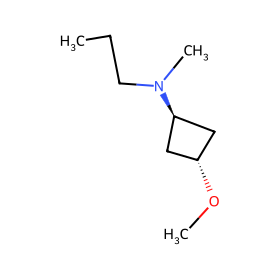 CCCN(C)[C@H]1C[C@H](OC)C1